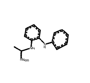 CCCCCCCCCC(C)Nc1ccccc1Nc1ccccc1